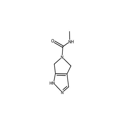 CNC(=O)N1Cc2cn[nH]c2C1